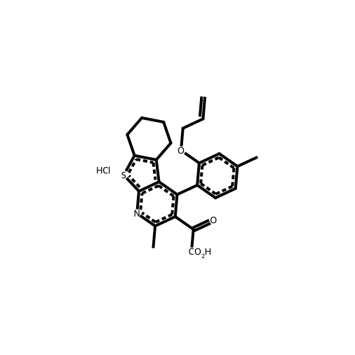 C=CCOc1cc(C)ccc1-c1c(C(=O)C(=O)O)c(C)nc2sc3c(c12)CCCC3.Cl